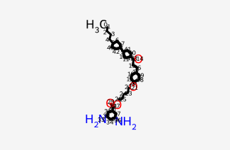 CCCCCc1ccc(-c2ccc(C(=O)/C=C/c3ccc(OCCCCCOC(=O)c4cc(N)cc(N)c4)cc3)cc2)cc1